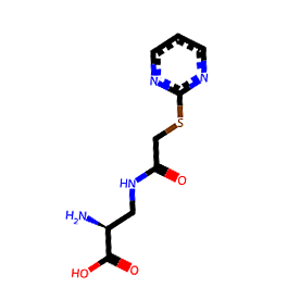 N[C@@H](CNC(=O)CSc1ncccn1)C(=O)O